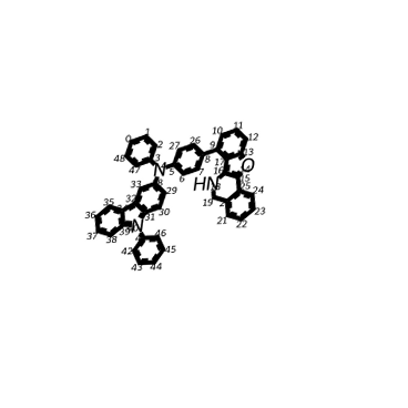 c1ccc(N(c2ccc(-c3cccc4oc5c(c34)NCc3ccccc3-5)cc2)c2ccc3c(c2)c2ccccc2n3-c2ccccc2)cc1